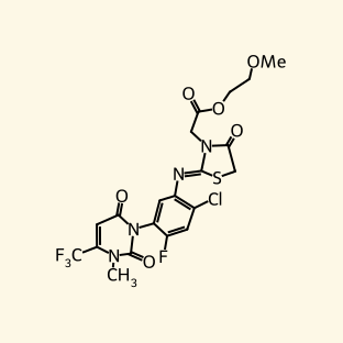 COCCOC(=O)CN1C(=O)CSC1=Nc1cc(-n2c(=O)cc(C(F)(F)F)n(C)c2=O)c(F)cc1Cl